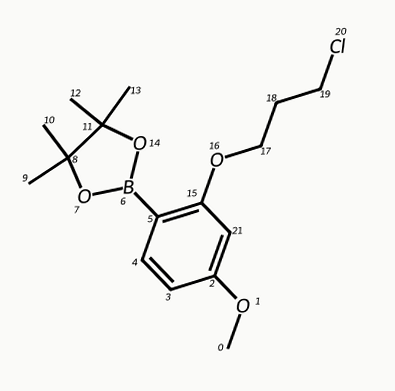 COc1ccc(B2OC(C)(C)C(C)(C)O2)c(OCCCCl)c1